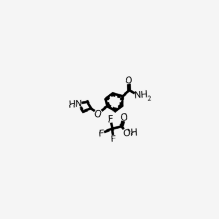 NC(=O)c1ccc(OC2CNC2)cc1.O=C(O)C(F)(F)F